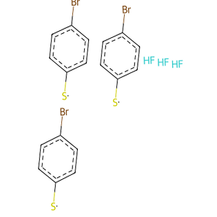 F.F.F.[S]c1ccc(Br)cc1.[S]c1ccc(Br)cc1.[S]c1ccc(Br)cc1